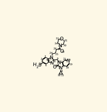 Bc1ccc2c(c1)nc(Cn1c(=O)n(C3CC3)c3ccncc31)n2CCCC(=O)N1CCOCC1